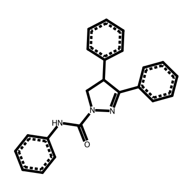 O=C(Nc1ccccc1)N1CC(c2ccccc2)C(c2ccccc2)=N1